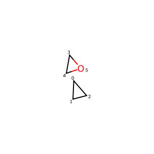 C1CC1.C1CO1